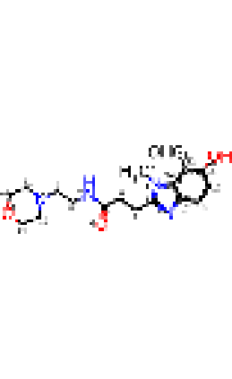 Cn1c(CCC(=O)NCCN2CCOCC2)nc2ccc(O)c(C=O)c21